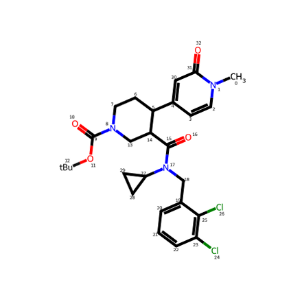 Cn1ccc(C2CCN(C(=O)OC(C)(C)C)CC2C(=O)N(Cc2cccc(Cl)c2Cl)C2CC2)cc1=O